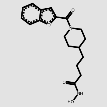 O=C(CCCC1CCN(C(=O)c2cc3ccccc3o2)CC1)NO